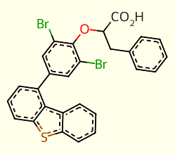 O=C(O)C(Cc1ccccc1)Oc1c(Br)cc(-c2cccc3sc4ccccc4c23)cc1Br